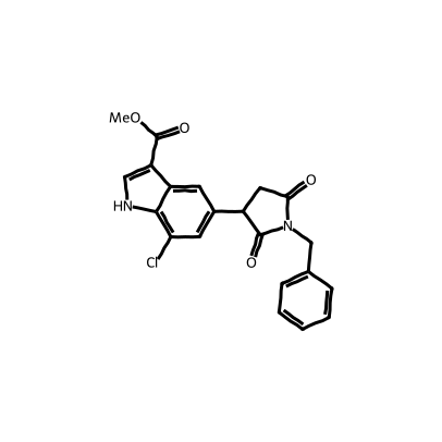 COC(=O)c1c[nH]c2c(Cl)cc(C3CC(=O)N(Cc4ccccc4)C3=O)cc12